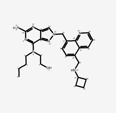 CCCCN(CCO)c1nc(N)nc2cn(Cc3ccc(CNC4CCC4)c4cccnc34)nc12